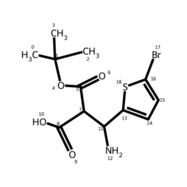 CC(C)(C)OC(=O)C(C(=O)O)C(N)c1ccc(Br)s1